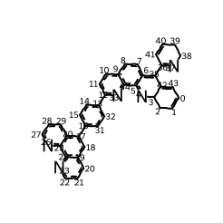 C1=CCC2N=c3c(ccc4ccc(-c5ccc(-c6cc7cccnc7c7ncccc67)cc5)nc34)=C(C3=NCCC=C3)C2=C1